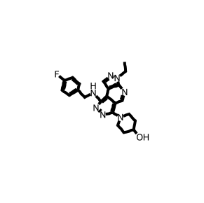 CCn1ncc2c3c(NCc4ccc(F)cc4)nnc(N4CCC(O)CC4)c3cnc21